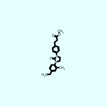 COC(=O)CCc1ccc(N2CCN(c3ccc(CN)cc3C)C2=O)cc1